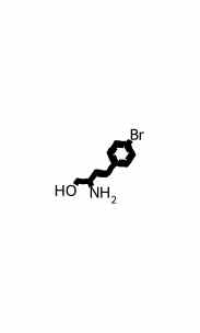 NC(C=Cc1ccc(Br)cc1)CO